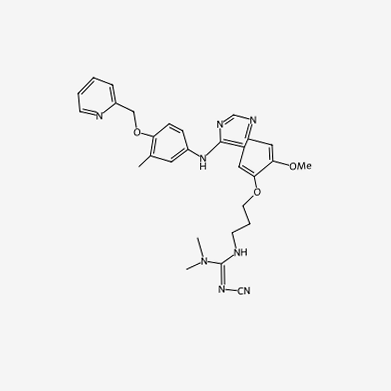 COc1cc2ncnc(Nc3ccc(OCc4ccccn4)c(C)c3)c2cc1OCCCN/C(=N\C#N)N(C)C